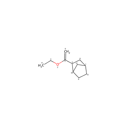 C=C(OCC)C1CC2CCC1C2